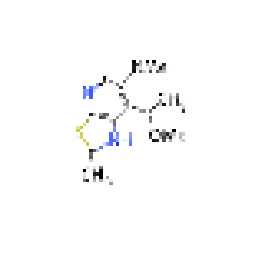 CNc1cnc2c(c1C(C)OC)NC(C)S2